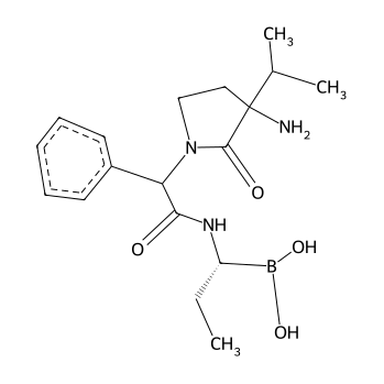 CC[C@H](NC(=O)C(c1ccccc1)N1CCC(N)(C(C)C)C1=O)B(O)O